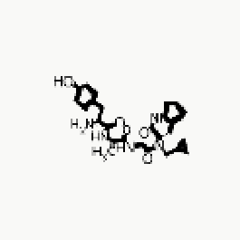 C[C@@H](NC(=O)[C@@H](N)Cc1ccc(O)cc1)C(=O)NCC(=O)N(CC1CC1)[C@@H](Cc1ccccc1)C(N)=O